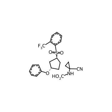 N#CC1(NC(=O)O)CC1.O=S(=O)(c1ccccc1C(F)(F)F)[C@H]1CC[C@H](Oc2ccccc2)C1